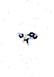 N#Cc1c(Nc2c(Cl)ccc3ncccc23)sn([C@@H]2CCNC2)c1=O